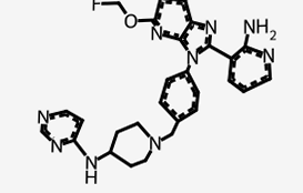 Nc1ncccc1-c1nc2ccc(OCF)nc2n1-c1ccc(CN2CCC(Nc3ccncn3)CC2)cc1